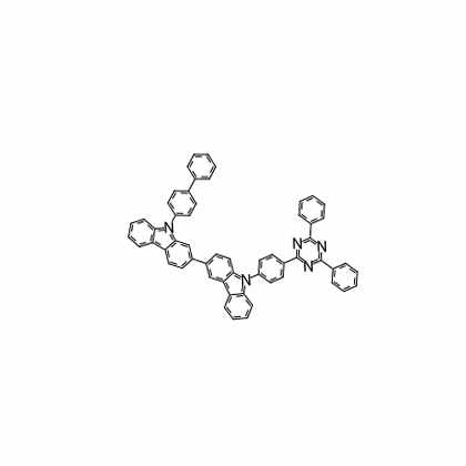 c1ccc(-c2ccc(-n3c4ccccc4c4ccc(-c5ccc6c(c5)c5ccccc5n6-c5ccc(-c6nc(-c7ccccc7)nc(-c7ccccc7)n6)cc5)cc43)cc2)cc1